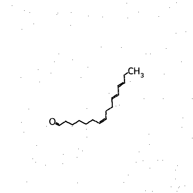 CCC=C/C=C/CC/C=C\CCCCCC=O